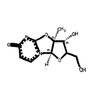 C[C@@]12Oc3nc(=O)ccn3[C@@H]1OC(CO)[C@H]2O